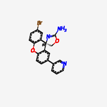 NC1=N[C@]2(CO1)c1cc(Br)ccc1Oc1ccc(-c3cccnc3)cc12